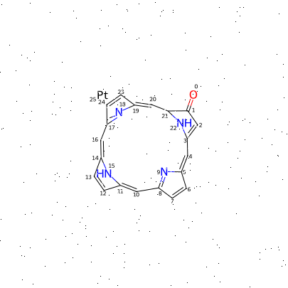 O=C1C=C2C=C3C=CC(=N3)C=c3ccc([nH]3)=CC3=NC(=CC1N2)C=C3.[Pt]